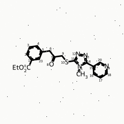 CCOC(=O)c1cccc(CC(=O)CSc2nnc(-c3cccnc3)n2C)c1